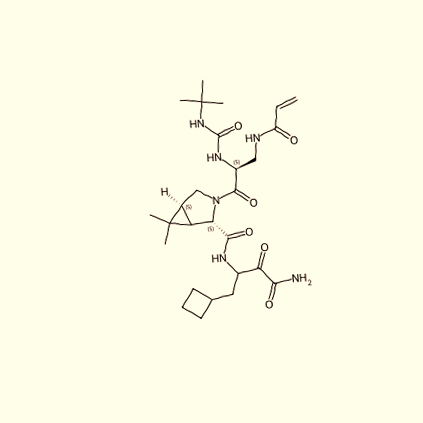 C=CC(=O)NC[C@H](NC(=O)NC(C)(C)C)C(=O)N1C[C@H]2C([C@H]1C(=O)NC(CC1CCC1)C(=O)C(N)=O)C2(C)C